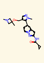 CN1CC(C)(OCc2cnn(C)c2-c2ccn3nc(NC(=O)C4CC4)cc3c2)C1